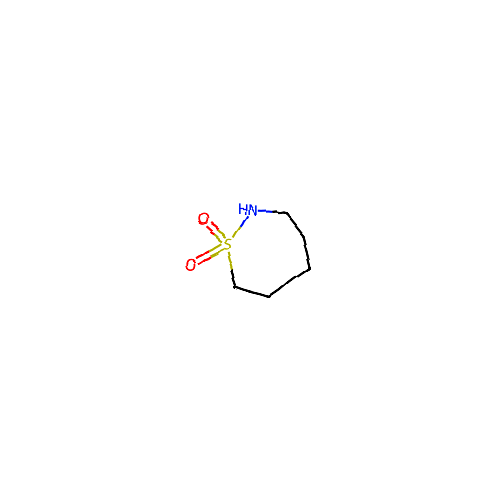 O=S1(=O)CCCCCN1